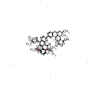 CC(C)CN(Cc1ccc(-c2cnc(N(C(=O)OC(C)(C)C)C(=O)OC(C)(C)C)c(N(Cc3c(Cl)cccc3Cl)C(=O)OC(C)(C)C)n2)cc1)C1CCN(C(=O)O)[C@@H](C(=O)O)C1